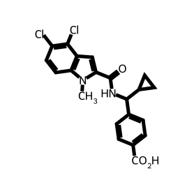 Cn1c(C(=O)NC(c2ccc(C(=O)O)cc2)C2CC2)cc2c(Cl)c(Cl)ccc21